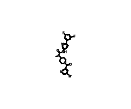 CN(C(=O)Nc1ccc(-c2cc(F)cc(F)c2)nc1)C1CCN(C(=O)c2cncc(Br)c2)CC1